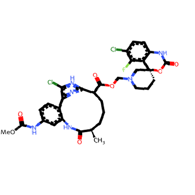 COC(=O)Nc1ccc2c(c1)NC(=O)[C@H](C)CCCC(C(=O)OCN1CCC[C@@]3(C1)OC(=O)Nc1ccc(Cl)c(F)c13)c1nc-2c(Cl)[nH]1